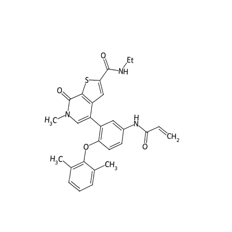 C=CC(=O)Nc1ccc(Oc2c(C)cccc2C)c(-c2cn(C)c(=O)c3sc(C(=O)NCC)cc23)c1